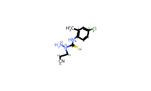 Cc1cc(Cl)ccc1NC(=S)N(N)CCC#N